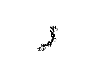 CN1CCN(c2ccc(C(=O)C=Cc3ccc(C=CC(=O)OC(C)(C)C)nc3)cc2)CC1